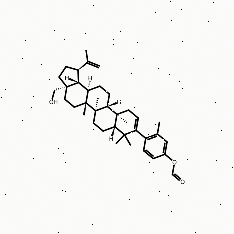 C=C(C)[C@@H]1CC[C@]2(CO)CC[C@]3(C)[C@H](CC[C@@H]4[C@@]5(C)CC=C(c6ccc(OC=O)cc6C)C(C)(C)[C@@H]5CC[C@]43C)[C@@H]12